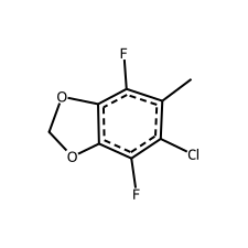 Cc1c(F)c2c(c(F)c1Cl)OCO2